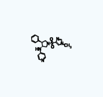 Cn1cnc(S(=O)(=O)N2C[C@H](Nc3ccncc3)[C@@H](c3ccccc3)C2)c1